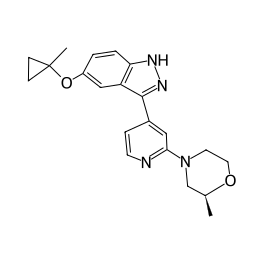 C[C@H]1CN(c2cc(-c3n[nH]c4ccc(OC5(C)CC5)cc34)ccn2)CCO1